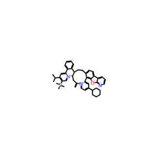 C=C1CC2C(CCc3ccc4c(oc5ncccc54)c3-c3cc(C4CCCCC4)cc[n+]31)c1ccccc1-c1cc(C(C)C)c([Si](C)(C)C)c[n+]12